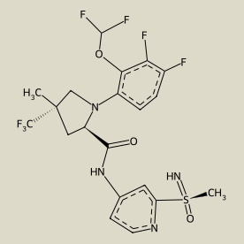 C[C@]1(C(F)(F)F)C[C@H](C(=O)Nc2ccnc([S@](C)(=N)=O)c2)N(c2ccc(F)c(F)c2OC(F)F)C1